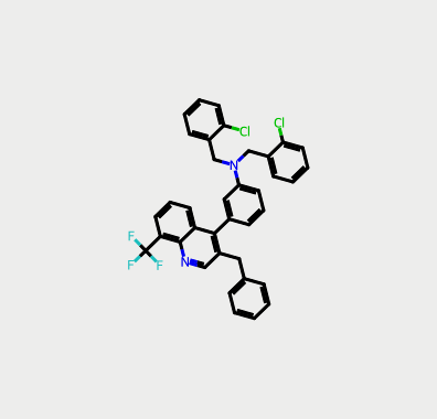 FC(F)(F)c1cccc2c(-c3cccc(N(Cc4ccccc4Cl)Cc4ccccc4Cl)c3)c(Cc3ccccc3)cnc12